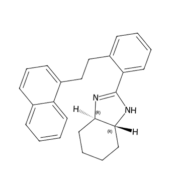 c1ccc(C2=N[C@@H]3CCCC[C@H]3N2)c(CCc2cccc3ccccc23)c1